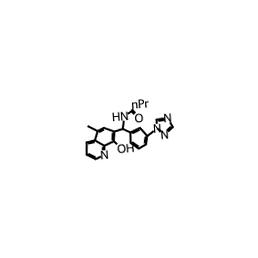 CCCC(=O)NC(c1cccc(-n2cncn2)c1)c1cc(C)c2cccnc2c1O